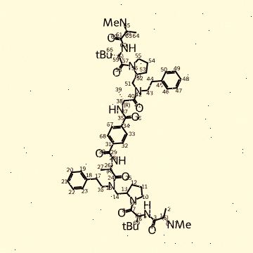 CN[C@@H](C)C(=O)N[C@H](C(=O)N1CCCC1CN(CCc1ccccc1)C(=O)[C@@H](C)NC(=O)c1ccc(C(=O)N[C@H](C)C(=O)N(CCc2ccccc2)C[C@@H]2CCCN2C(=O)[C@@H](NC(=O)[C@H](C)NC)C(C)(C)C)cc1)C(C)(C)C